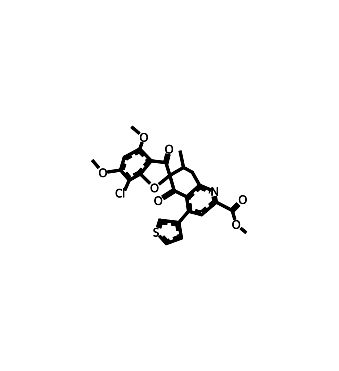 COC(=O)c1cc(-c2ccsc2)c2c(n1)CC(C)C1(Oc3c(Cl)c(OC)cc(OC)c3C1=O)C2=O